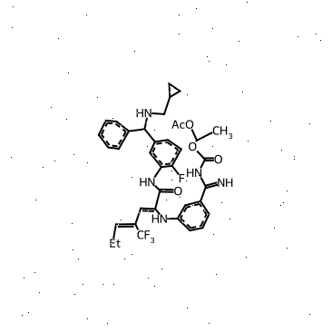 CC/C=C(/C=C(\Nc1cccc(C(=N)NC(=O)OC(C)OC(C)=O)c1)C(=O)Nc1cc(C(NCC2CC2)c2ccccc2)ccc1F)C(F)(F)F